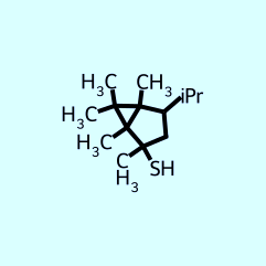 CC(C)C1CC(C)(S)C2(C)C(C)(C)C12C